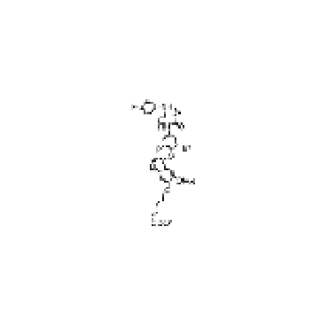 COc1cc2c(Oc3ccc(NC(=O)C4(C(=O)Nc5ccc(F)cc5)CC4)cc3F)ccnc2cc1OCCCCCC(=O)[O-].[K+]